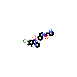 Cc1c(Cl)cc(C(=O)Nc2ccc3c(c2)CCN3C(=O)Cc2ccccn2)c(-c2ccccc2)c1C